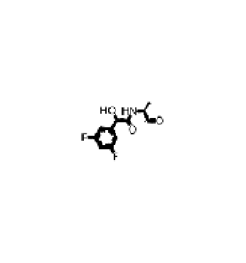 C[C@@H]([C]=O)NC(=O)C(O)c1cc(F)cc(F)c1